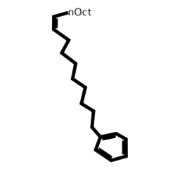 [CH2]CCCCCCC/C=C\CCCCCCCCc1ccccc1